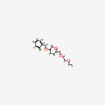 CCOCCOCC1CCC(OCc2ccccc2F)CO1